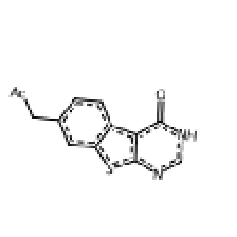 CC(=O)Cc1ccc2c(c1)sc1nc[nH]c(=O)c12